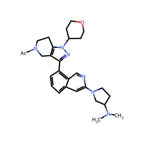 CC(=O)N1CCc2c(c(-c3cccc4cc(N5CCC(N(C)C)C5)ncc34)nn2C2CCOCC2)C1